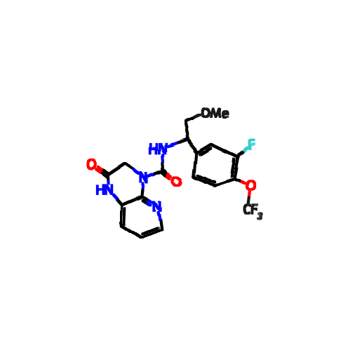 COCC(NC(=O)N1CC(=O)Nc2cccnc21)c1ccc(OC(F)(F)F)c(F)c1